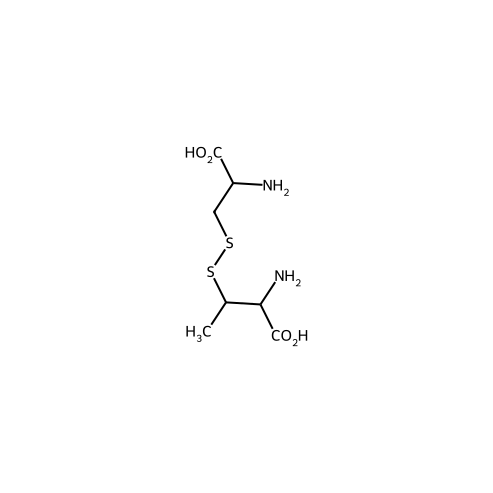 CC(SSCC(N)C(=O)O)C(N)C(=O)O